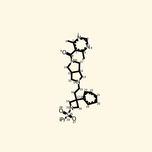 Cc1ncnc(C)c1C(=O)N1CC2CN(CCC3(c4ccccc4)CN(S(=O)(=O)C(C)C)C3)CC2C1